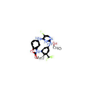 COc1ccc(Nc2ncc(F)c(Nc3ccc4oc(=O)[nH]c4c3)n2)cc1C(F)F.O=CO